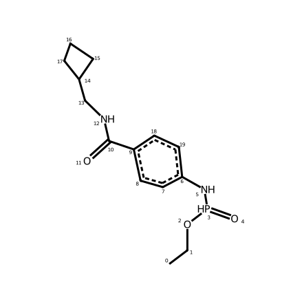 CCO[PH](=O)Nc1ccc(C(=O)NCC2CCC2)cc1